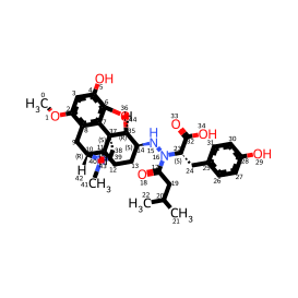 COc1cc(O)c2c3c1C[C@@H]1[C@@H]4CC[C@H](NN(C(=O)CC(C)C)[C@@H](Cc5ccc(O)cc5)C(=O)O)[C@H](O2)[C@]34CCN1C